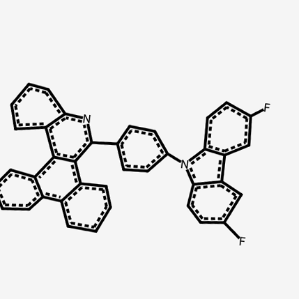 Fc1ccc2c(c1)c1cc(F)ccc1n2-c1ccc(-c2nc3ccccc3c3c4ccccc4c4ccccc4c23)cc1